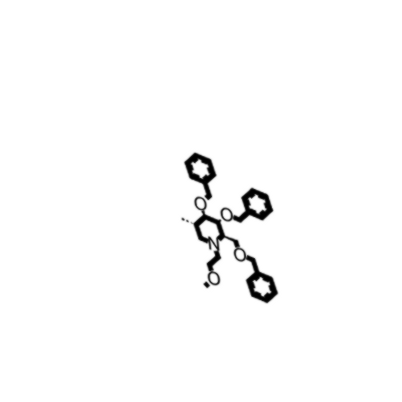 COCCN1C[C@H](C)[C@@H](OCc2ccccc2)[C@H](OCc2ccccc2)[C@H]1COCc1ccccc1